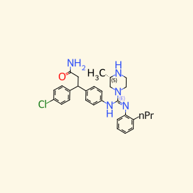 CCCc1ccccc1/N=C(\Nc1ccc(C(CC(N)=O)c2ccc(Cl)cc2)cc1)N1CCN[C@@H](C)C1